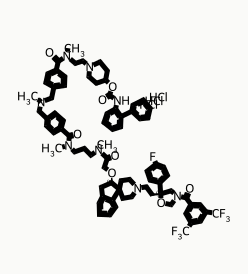 CN(Cc1ccc(C(=O)N(C)CCCN(C)C(=O)CO[C@H]2Cc3ccccc3C23CCN(CC[C@@]2(c4ccc(F)cc4)CN(C(=O)c4cc(C(F)(F)F)cc(C(F)(F)F)c4)CO2)CC3)cc1)Cc1ccc(C(=O)N(C)CCN2CCC(OC(=O)Nc3ccccc3-c3ccccc3)CC2)cc1.Cl.Cl.Cl